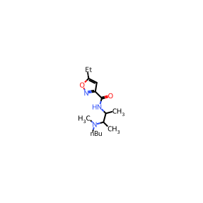 CCCCN(C)C(C)C(C)NC(=O)c1cc(CC)on1